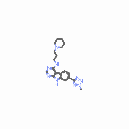 Cn1nnc(-c2ccc3c(c2)[nH]c2ncnc(NCCCN4CCCCC4)c23)n1